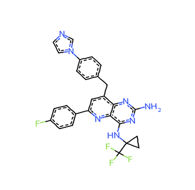 Nc1nc(NC2(C(F)(F)F)CC2)c2nc(-c3ccc(F)cc3)cc(Cc3ccc(-n4ccnc4)cc3)c2n1